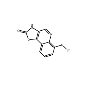 CCOc1cccc2c1ncc1[nH]c(=O)oc12